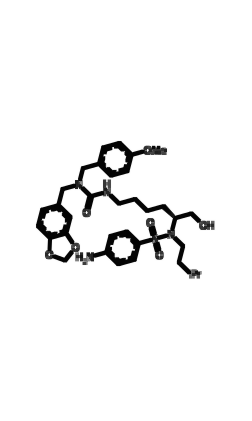 COc1ccc(CN(Cc2ccc3c(c2)OCO3)C(=O)NCCCC[C@@H](CO)N(CCC(C)C)S(=O)(=O)c2ccc(N)cc2)cc1